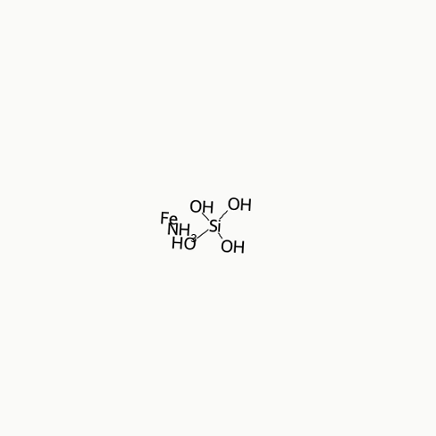 N.O[Si](O)(O)O.[Fe]